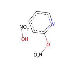 O=[N+]([O-])O.O=[N+]([O-])Oc1ccccn1